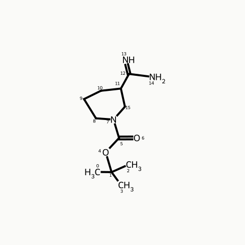 CC(C)(C)OC(=O)N1CCCC(C(=N)N)C1